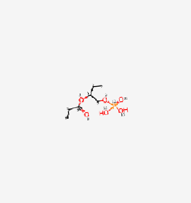 CCC(=O)OC(CC)COP(=O)(O)O